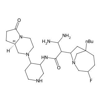 CCCCC12CCC(F)CN(C1)C(C(C(=O)NC1CNCCC1N1CCN3C(=O)CC[C@@H]3C1)C(N)N)C2